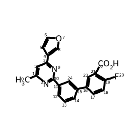 Cc1cc(-c2ccoc2)nc(-c2cccc(-c3ccc(F)c(C(=O)O)c3)c2)n1